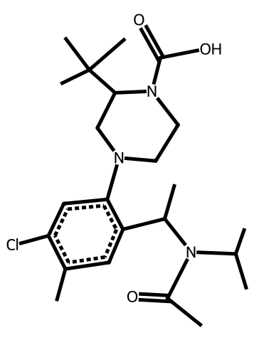 CC(=O)N(C(C)C)C(C)c1cc(C)c(Cl)cc1N1CCN(C(=O)O)C(C(C)(C)C)C1